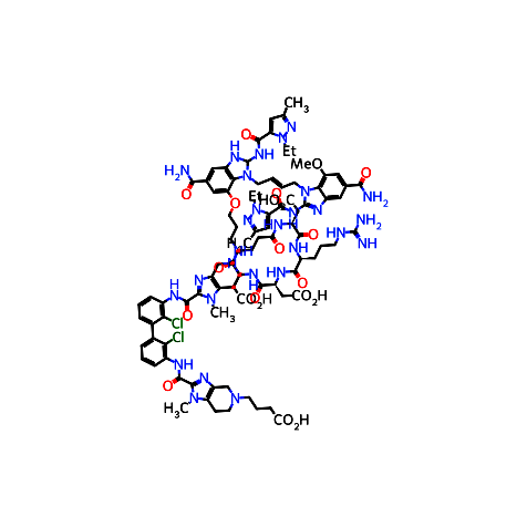 CCn1nc(C)cc1C(=O)Nc1nc2cc(C(N)=O)cc(OC)c2n1C/C=C/CN1c2c(cc(C(N)=O)cc2OCCCNC(=O)[C@H](CC(=O)O)NC(=O)[C@H](CC(=O)O)NC(=O)[C@H](CCCNC(=N)N)NC(=O)[C@H](CC(=O)O)NC(=O)CCCN2CCc3c(nc(C(=O)Nc4cccc(-c5cccc(NC(=O)c6nc7c(n6C)CCN(CCCC(=O)O)C7)c5Cl)c4Cl)n3C)C2)NC1NC(=O)c1cc(C)nn1CC